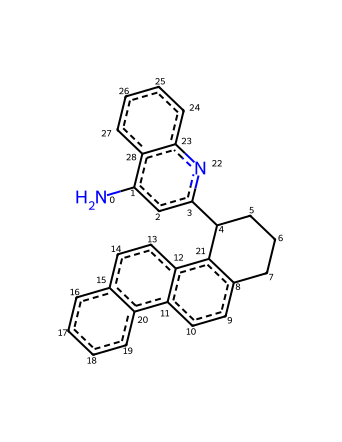 Nc1cc(C2CCCc3ccc4c(ccc5ccccc54)c32)nc2ccccc12